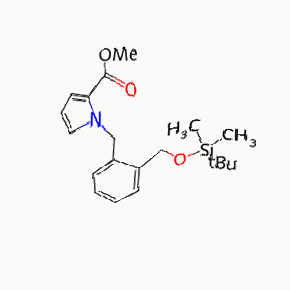 COC(=O)c1cccn1Cc1ccccc1CO[Si](C)(C)C(C)(C)C